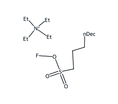 CCCCCCCCCCCCCS(=O)(=O)OF.CC[N+](CC)(CC)CC